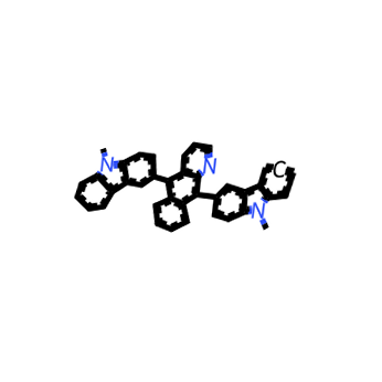 Cn1c2ccccc2c2cc(-c3c4ccccc4c(-c4ccc5c(c4)c4ccccc4n5C)c4ncccc34)ccc21